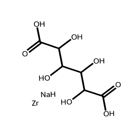 O=C(O)C(O)C(O)C(O)C(O)C(=O)O.[NaH].[Zr]